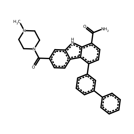 CN1CCN(C(=O)c2ccc3c(c2)[nH]c2c(C(N)=O)ccc(-c4cccc(-c5ccccc5)c4)c23)CC1